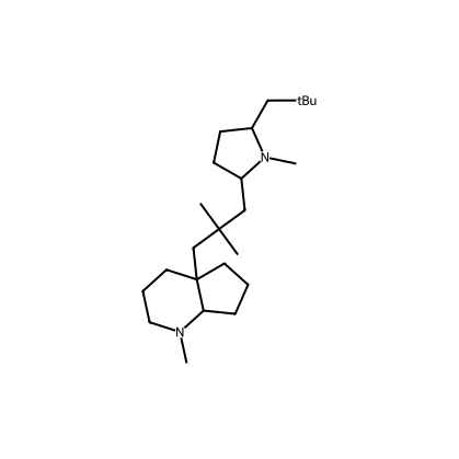 CN1CCCC2(CC(C)(C)CC3CCC(CC(C)(C)C)N3C)CCCC12